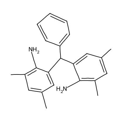 Cc1cc(C)c(N)c(C(c2ccccc2)c2cc(C)cc(C)c2N)c1